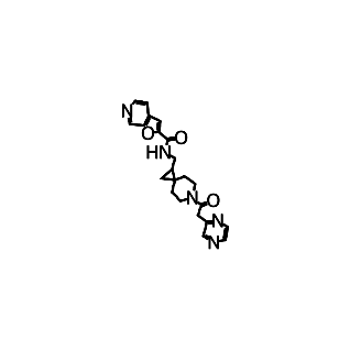 O=C(NCC1CC12CCN(C(=O)Cc1cnccn1)CC2)c1cc2ccncc2o1